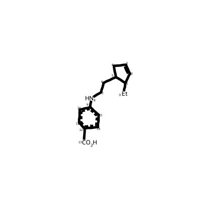 CCC1C=CCC1CCNc1ccc(C(=O)O)cc1